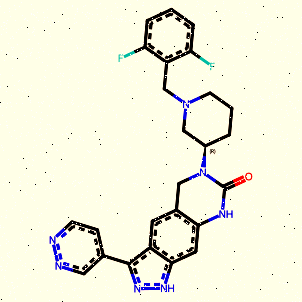 O=C1Nc2cc3[nH]nc(-c4ccnnc4)c3cc2CN1[C@@H]1CCCN(Cc2c(F)cccc2F)C1